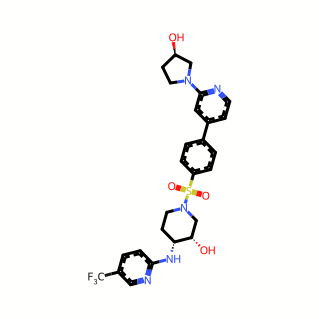 O=S(=O)(c1ccc(-c2ccnc(N3CC[C@@H](O)C3)c2)cc1)N1CC[C@@H](Nc2ccc(C(F)(F)F)cn2)[C@@H](O)C1